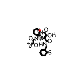 CN(C)C(=O)C(=O)NC12CCC(CC1)Cn1c2nc(C(=O)NCC2=CC=CCC2=S)c(O)c1=O